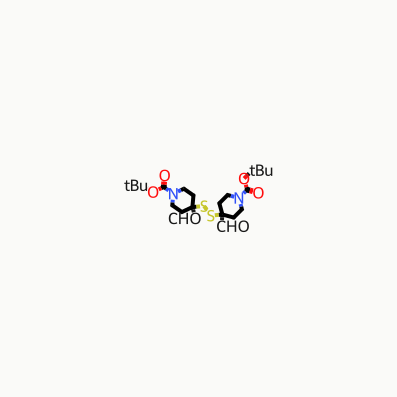 CC(C)(C)OC(=O)N1CCC(C=O)(SSC2(C=O)CCN(C(=O)OC(C)(C)C)CC2)CC1